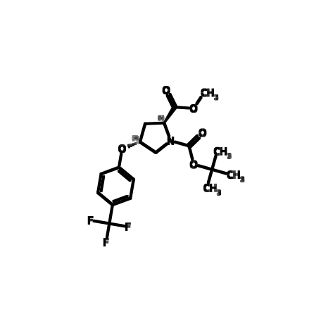 COC(=O)[C@@H]1C[C@@H](Oc2ccc(C(F)(F)F)cc2)CN1C(=O)OC(C)(C)C